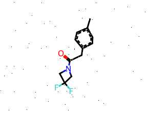 Cc1ccc(CC(=O)N2CC(F)(F)C2)cc1